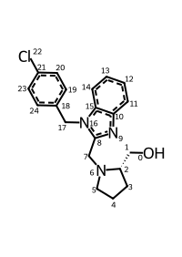 OC[C@@H]1CCCN1Cc1nc2ccccc2n1Cc1ccc(Cl)cc1